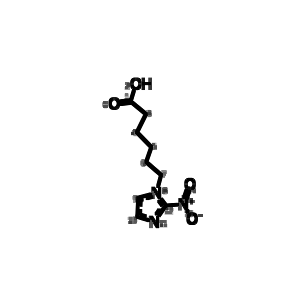 O=C(O)CCCCCn1ccnc1[N+](=O)[O-]